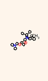 CC1(C)c2ccccc2-c2ccc(N(c3cc(-c4ccccc4)cc(-c4ccccc4)c3)c3ccc4c(c3)Oc3cccc5c(Oc6cccc(N(c7ccccc7)c7ccccc7)c6)ccc-4c35)cc21